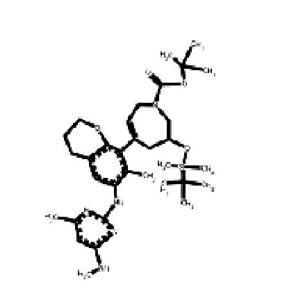 CNc1cc(C)nc(Nc2cc3c(c(C4=CCN(C(=O)OC(C)(C)C)CC(O[Si](C)(C)C(C)(C)C)C4)c2C)OCCC3)n1